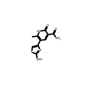 CSc1nc(-c2cc(C(N)=O)c(=O)[nH]c2C)cs1